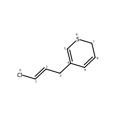 Cl/C=C/CC1=[C]SCC=C1